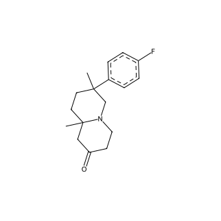 CC1(c2ccc(F)cc2)CCC2(C)CC(=O)CCN2C1